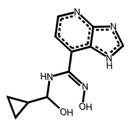 ON=C(NC(O)C1CC1)c1ccnc2nc[nH]c12